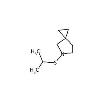 CC(C)SN1CCC2(CC2)C1